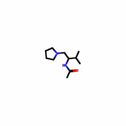 CC(=O)NC(CN1CCCC1)C(C)C